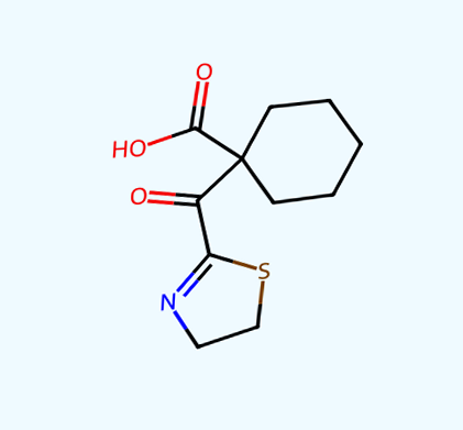 O=C(O)C1(C(=O)C2=NCCS2)CCCCC1